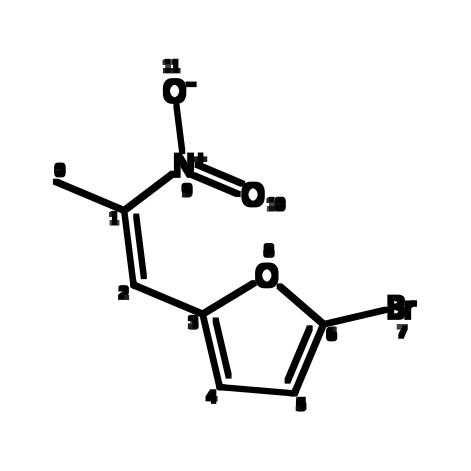 CC(=Cc1ccc(Br)o1)[N+](=O)[O-]